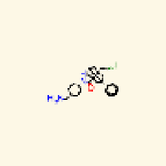 NC[C@H]1CC[C@H](NC(=O)C23CC4C[C@]2(CCCl)C[C@@]4(c2ccccc2)C3)CC1